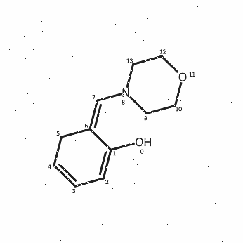 OC1=CC=CCC1=CN1CCOCC1